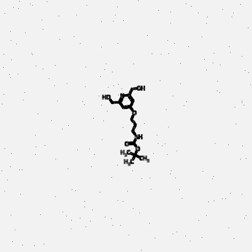 CC(C)(C)OC(=O)NCCCOc1cc(CO)nc(CO)c1